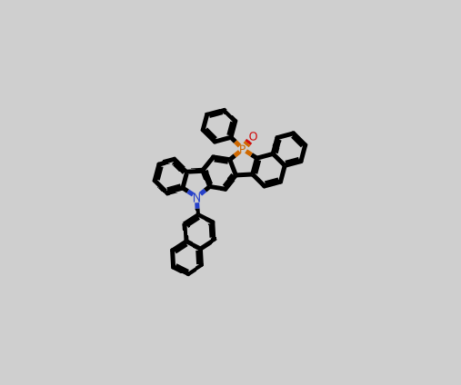 O=P1(c2ccccc2)c2cc3c4ccccc4n(-c4ccc5ccccc5c4)c3cc2-c2ccc3ccccc3c21